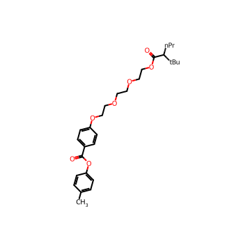 CCCC(C(=O)OCCOCCOCCOc1ccc(C(=O)Oc2ccc(C)cc2)cc1)C(C)(C)C